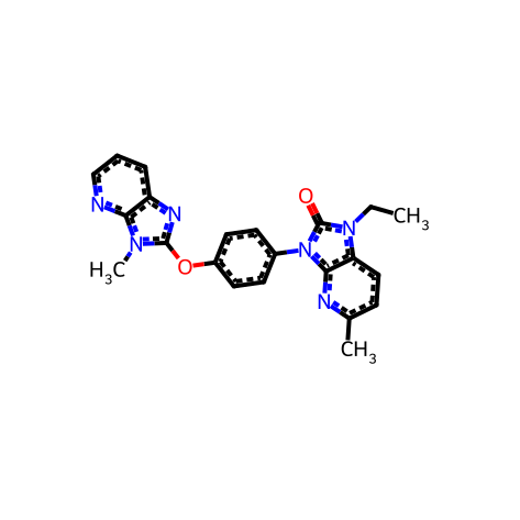 CCn1c(=O)n(-c2ccc(Oc3nc4cccnc4n3C)cc2)c2nc(C)ccc21